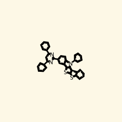 c1ccc(-c2cc(-c3ccccc3)nc(-c3ccc4c(c3)c3sc5sc6ccccc6c5c3n4-c3ccccc3)n2)cc1